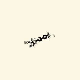 CC(C)CC(OC(c1ccc(-c2ccc(S(C)(=O)=O)cc2)cc1)C(F)(F)F)C(=O)NCC#N